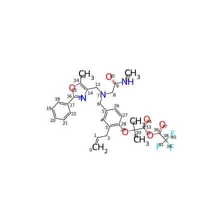 C=CCc1cc(CN(CC(=O)NC)Cc2nc(-c3ccccc3)oc2C)ccc1OC(C)(C)C(=O)OC(=O)C(F)(F)F